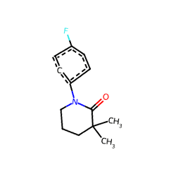 CC1(C)CCCN(c2ccc(F)cc2)C1=O